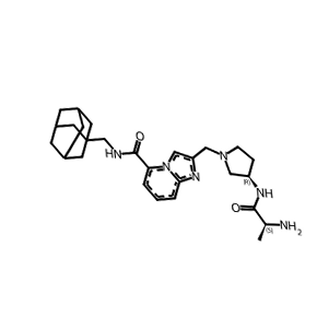 C[C@H](N)C(=O)N[C@@H]1CCN(Cc2cn3c(C(=O)NCC45CC6CC(CC(C6)C4)C5)cccc3n2)C1